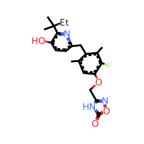 CCC(C)(C)c1nc(Cc2c(C)cc(OCc3noc(=O)[nH]3)c(F)c2C)ccc1O